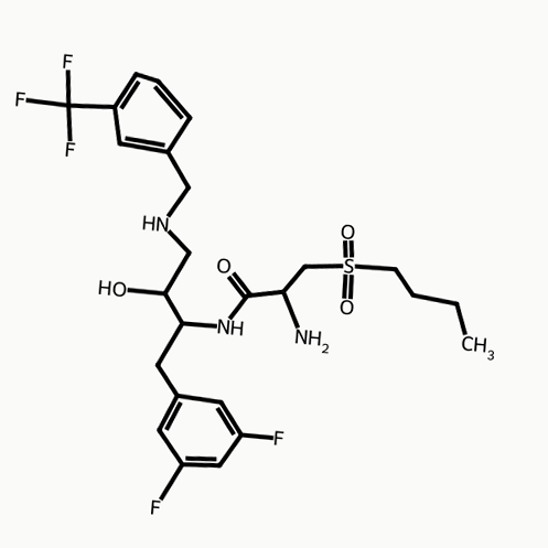 CCCCS(=O)(=O)CC(N)C(=O)NC(Cc1cc(F)cc(F)c1)C(O)CNCc1cccc(C(F)(F)F)c1